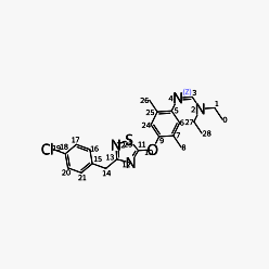 CCN(/C=N\c1cc(C)c(Oc2nc(Cc3ccc(Cl)cc3)ns2)cc1C)CC